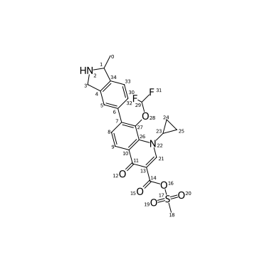 CC1NCc2cc(-c3ccc4c(=O)c(C(=O)OS(C)(=O)=O)cn(C5CC5)c4c3OC(F)F)ccc21